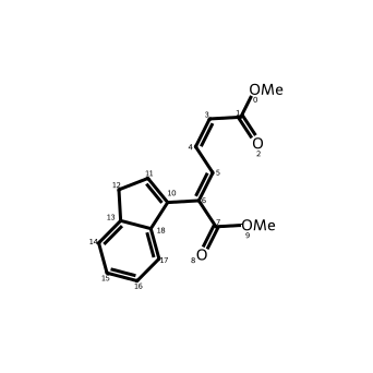 COC(=O)/C=C\C=C(\C(=O)OC)C1=CCc2ccccc21